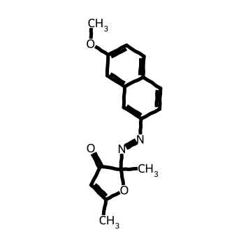 COc1ccc2ccc(N=NC3(C)OC(C)=CC3=O)cc2c1